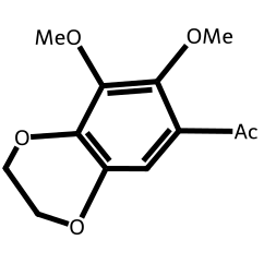 COc1c(C(C)=O)cc2c(c1OC)OCCO2